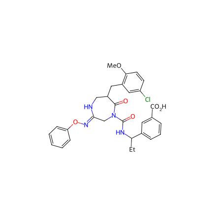 CCC(NC(=O)N1C/C(=N/Oc2ccccc2)NCC(Cc2cc(Cl)ccc2OC)C1=O)c1cccc(C(=O)O)c1